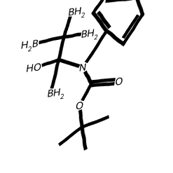 BC(B)(B)C(B)(O)N(C(=O)OC(C)(C)C)c1ccccc1